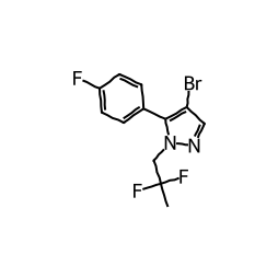 CC(F)(F)Cn1ncc(Br)c1-c1ccc(F)cc1